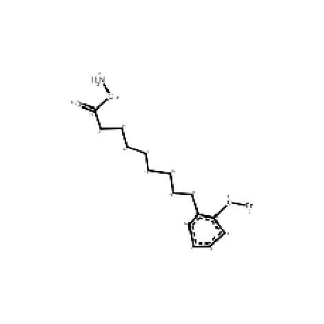 CCOc1ccccc1CCCCCCCCC(=O)ON